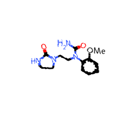 COc1ccccc1N(CCN1CCNC1=O)C(N)=O